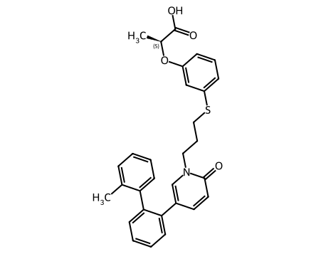 Cc1ccccc1-c1ccccc1-c1ccc(=O)n(CCCSc2cccc(O[C@@H](C)C(=O)O)c2)c1